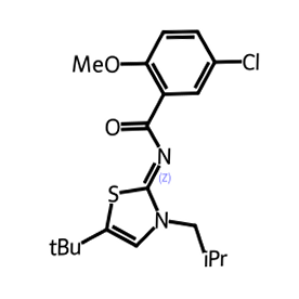 COc1ccc(Cl)cc1C(=O)/N=c1\sc(C(C)(C)C)cn1CC(C)C